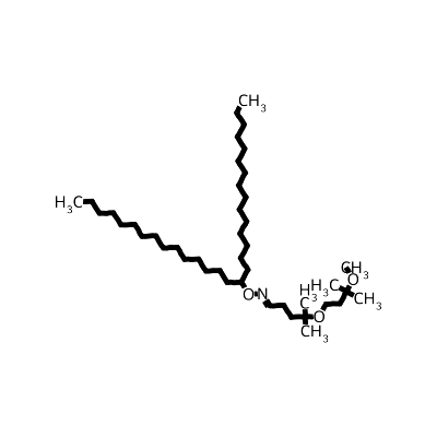 CCCCCCCCCCCCCCCC(CCCCCCCCCCCCCCC)O/N=C/CCC(C)(C)OCCC(C)(C)OC